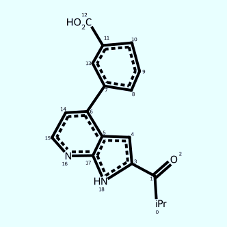 CC(C)C(=O)c1cc2c(-c3cccc(C(=O)O)c3)ccnc2[nH]1